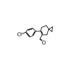 O=CC1=C(c2ccc(Cl)cc2)CCC2(CC2)C1